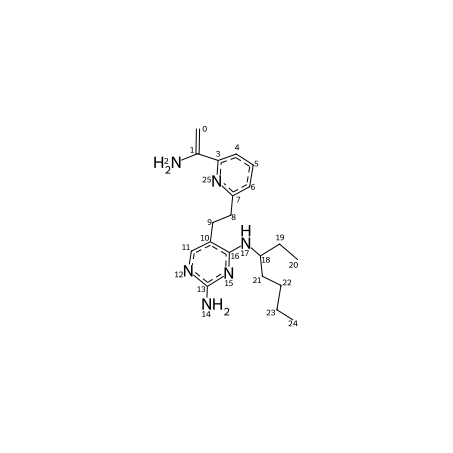 C=C(N)c1cccc(CCc2cnc(N)nc2NC(CC)CCCC)n1